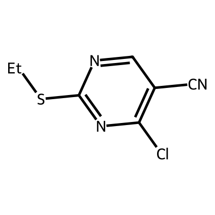 CCSc1ncc(C#N)c(Cl)n1